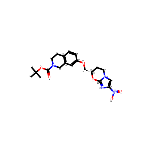 CC(C)(C)OC(=O)N1CCc2ccc(OC[C@@H]3CCn4cc([N+](=O)[O-])nc4O3)cc2C1